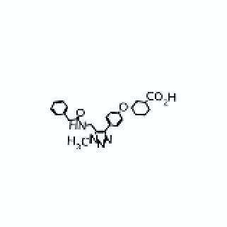 Cn1nnc(-c2ccc(O[C@H]3CCC[C@H](C(=O)O)C3)cc2)c1CNC(=O)Cc1ccccc1